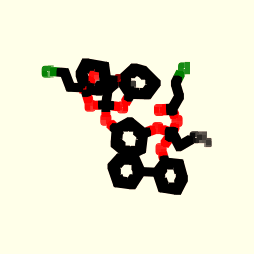 CCC(OC(=O)CCCl)(Oc1cccc(OC(CC)(OC(=O)CCCl)Oc2ccccc2-c2ccccc2)c1)Oc1ccccc1-c1ccccc1